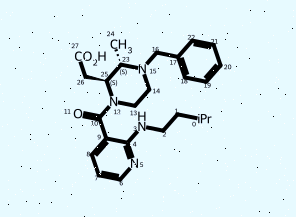 CC(C)CCNc1ncccc1C(=O)N1CCN(Cc2ccccc2)[C@@H](C)[C@@H]1CC(=O)O